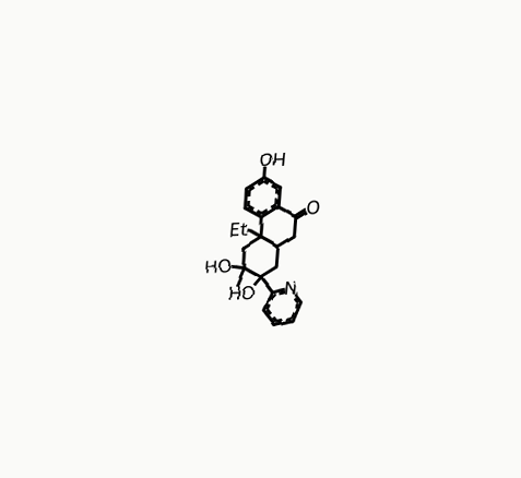 CCC12CC(C)(O)C(O)(c3ccccn3)CC1CC(=O)c1cc(O)ccc12